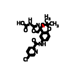 CC1(C)Oc2ccc(NC(=O)c3ccc(Cl)cn3)cc2C2(COC(NC(=O)O)=N2)C12COC2